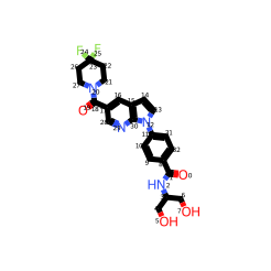 O=C(NC(CO)CO)c1ccc(-n2ccc3cc(C(=O)N4CCC(F)(F)CC4)cnc32)cc1